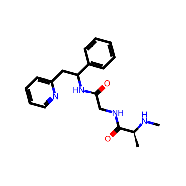 CN[C@@H](C)C(=O)NCC(=O)NC(Cc1ccccn1)c1ccccc1